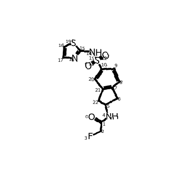 O=C(CF)NC1Cc2ccc(S(=O)(=O)Nc3nccs3)cc2C1